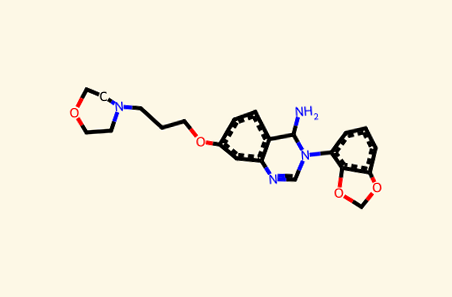 NC1c2ccc(OCCCN3CCOCC3)cc2N=CN1c1cccc2c1OCO2